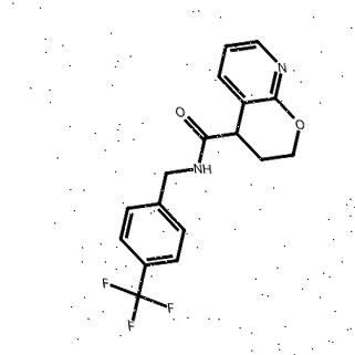 O=C(NCc1ccc(C(F)(F)F)cc1)C1CCOc2ncccc21